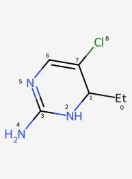 CCC1NC(N)=NC=C1Cl